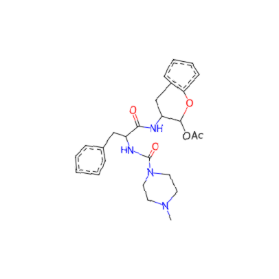 CC(=O)OC1Oc2ccccc2CC1NC(=O)C(Cc1ccccc1)NC(=O)N1CCN(C)CC1